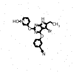 CCc1[nH]c2nc(Oc3ccc[n+](O)c3)nc(Oc3cccc(C#N)c3)c2c1Br